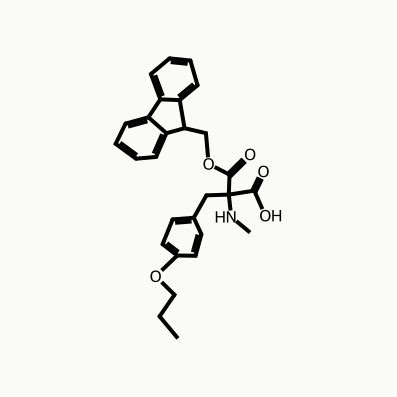 CCCOc1ccc(CC(NC)(C(=O)O)C(=O)OCC2c3ccccc3-c3ccccc32)cc1